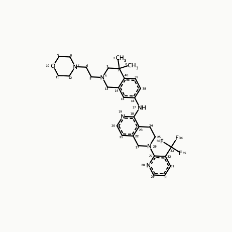 CC1(C)CN(CCN2CCOCC2)Cc2cc(Nc3nccc4c3CCN(c3ncccc3C(F)(F)F)C4)ccc21